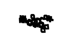 COc1ccc(-n2cnnn2)cc1C(=O)NCC(CCO[Si](C)(C)C(C)(C)C)c1ccc(Cl)c(Cl)c1